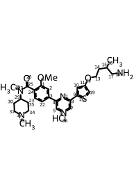 COc1cc(-c2cncc(-c3cc(OCCC(C)CN)cs3)n2)ccc1C(=O)N(C)C1CCN(C)CC1.Cl